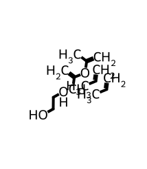 C=C(C)OC(=C)C.C=CC.C=CC.OCCO